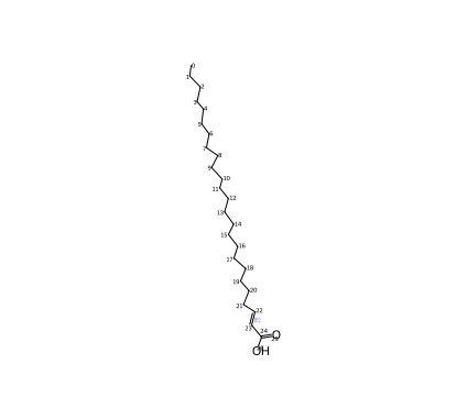 CCCCCCCCCCCCCCCCCCCCCC/C=C/C(=O)O